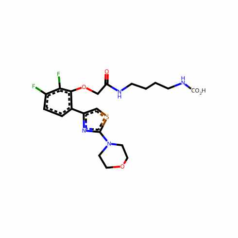 O=C(O)NCCCCNC(=O)COc1c(-c2csc(N3CCOCC3)n2)ccc(F)c1F